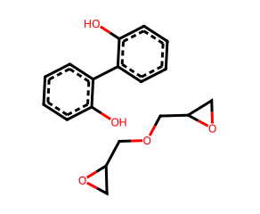 C(OCC1CO1)C1CO1.Oc1ccccc1-c1ccccc1O